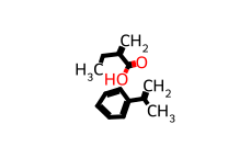 C=C(C)c1ccccc1.C=C(CC)C(=O)O